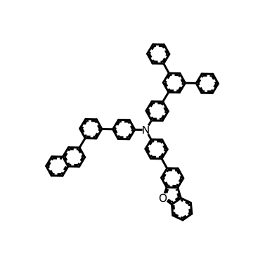 c1ccc(-c2cc(-c3ccccc3)cc(-c3ccc(N(c4ccc(-c5cccc(-c6ccc7ccccc7c6)c5)cc4)c4ccc(-c5ccc6c(c5)oc5ccccc56)cc4)cc3)c2)cc1